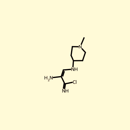 CN1CCC(N/C=C(/N)C(=N)Cl)CC1